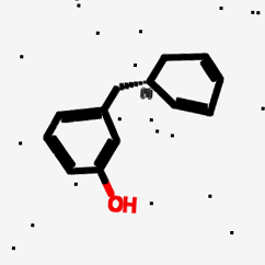 Oc1cccc(C[C@H]2C=CC=CC2)c1